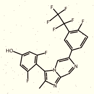 Cc1nc2cnc(-c3ccc(F)c(C(F)(F)C(F)(F)F)c3)cn2c1-c1c(F)cc(O)cc1F